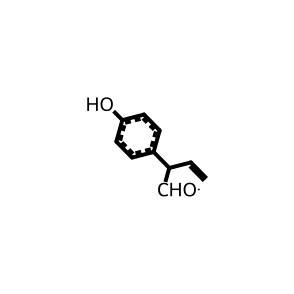 C=CC([C]=O)c1ccc(O)cc1